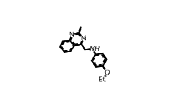 CCOc1ccc(NCc2nc(C)nc3ccccc23)cc1